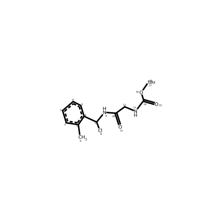 Cc1ccccc1C(Cl)NC(=O)CNC(=O)OC(C)(C)C